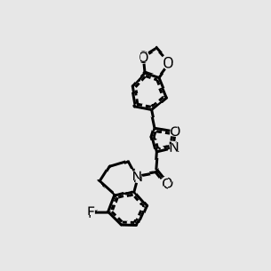 O=C(c1cc(-c2ccc3c(c2)OCO3)on1)N1CCCc2c(F)cccc21